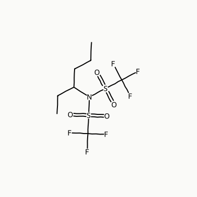 CCCC(CC)N(S(=O)(=O)C(F)(F)F)S(=O)(=O)C(F)(F)F